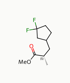 COC(=O)[C@@H](C)CC1CCC(F)(F)C1